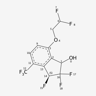 OC1c2c(OCC(F)F)ccc(C(F)(F)F)c2[C@H](F)C1(F)F